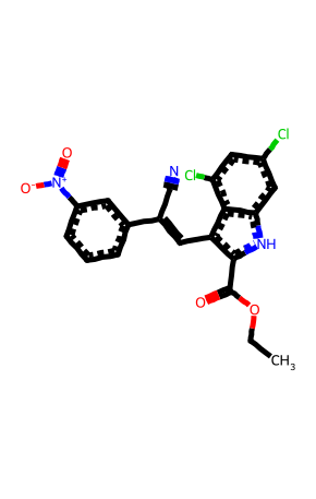 CCOC(=O)c1[nH]c2cc(Cl)cc(Cl)c2c1C=C(C#N)c1cccc([N+](=O)[O-])c1